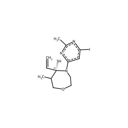 C=C[C@]1(S)C(C)COCCN1c1cc(I)nc(C)n1